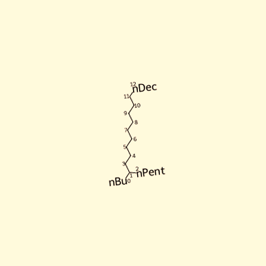 [CH2]CCCC(CCCCC)CCCCCCCCCCCCCCCCCCC